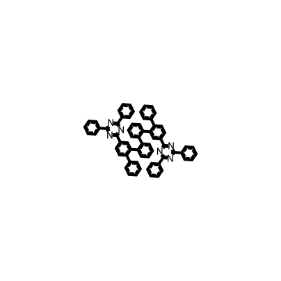 c1ccc(-c2nc(-c3ccccc3)nc(-c3ccc(-c4ccccc4)c(-c4ccccc4-c4ccccc4-c4cc(-c5nc(-c6ccccc6)nc(-c6ccccc6)n5)ccc4-c4ccccc4)c3)n2)cc1